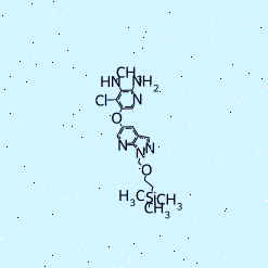 CNc1c(N)ncc(Oc2cnc3c(cnn3COCC[Si](C)(C)C)c2)c1Cl